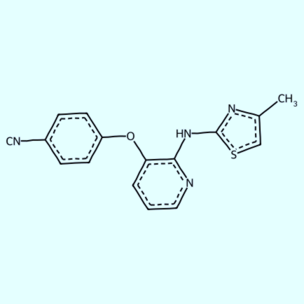 [C-]#[N+]c1ccc(Oc2cccnc2Nc2nc(C)cs2)cc1